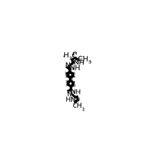 CC1CCC(c2ncc(-c3ccc(-c4ccc(-c5cnc(C6CC(C)C(C)N6)[nH]5)cc4)cc3)[nH]2)N1